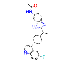 CC(=O)Nc1ccc2nc(C(C)C3CCC(c4ccnc5ccc(F)cc45)CC3)[nH]c2c1